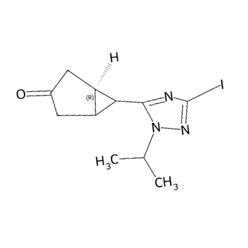 CC(C)n1nc(I)nc1C1C2CC(=O)C[C@H]21